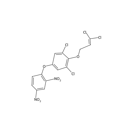 O=[N+]([O-])c1ccc(Oc2cc(Cl)c(OCC=C(Cl)Cl)c(Cl)c2)c([N+](=O)[O-])c1